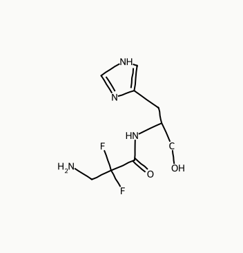 NCC(F)(F)C(=O)NC(CO)Cc1c[nH]cn1